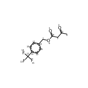 CC(=O)CC(=O)OCc1ccc(C(F)(F)F)cc1